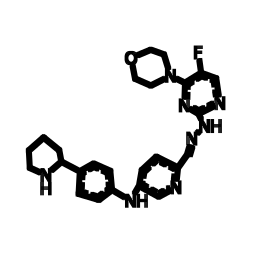 Fc1cnc(N/N=C/c2ccc(Nc3ccc(C4CCCCN4)cc3)cn2)nc1N1CCOCC1